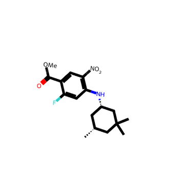 COC(=O)c1cc([N+](=O)[O-])c(N[C@H]2C[C@@H](C)CC(C)(C)C2)cc1F